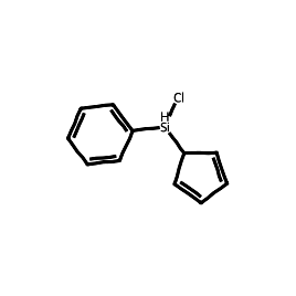 Cl[SiH](c1ccccc1)C1C=CC=C1